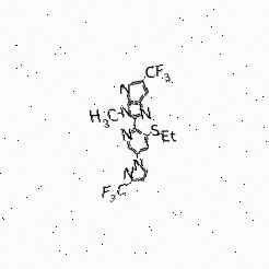 CCSc1cc(-n2ccc(C(F)(F)F)n2)cnc1-c1nc2cc(C(F)(F)F)cnc2n1C